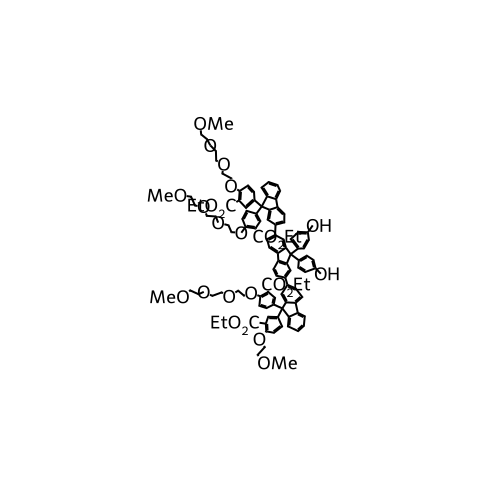 CCOC(=O)c1cc(C2(c3ccc(OCCOCCOCCOC)c(C(=O)OCC)c3)c3ccccc3-c3ccc(-c4ccc5c(c4)C(c4ccc(O)cc4)(c4ccc(O)cc4)c4cc(-c6ccc7c(c6)C(c6ccc(OCCOCCOCCOC)c(C(=O)OCC)c6)(c6ccc(OCCOCCOCCOC)c(C(=O)OCC)c6)c6ccccc6-7)ccc4-5)cc32)ccc1OCCOC